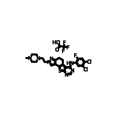 CN1CCN(CCn2cc3c(n2)CCc2c-3sc3ncnc(Nc4cc(Cl)c(Cl)cc4F)c23)CC1.O=C(O)C(F)(F)F